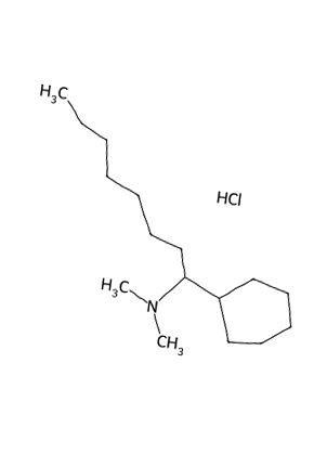 CCCCCCCC(C1CCCCC1)N(C)C.Cl